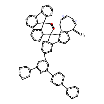 C=C1/C=C\C=C/Sc2c1ccc1c2C2(c3ccc(-c4cc(-c5ccccc5)nc(-c5ccc(-c6ccccc6)cc5)c4)cc3-1)c1ccccc1C1(c3ccccc3-c3ccccc31)c1ccccc12